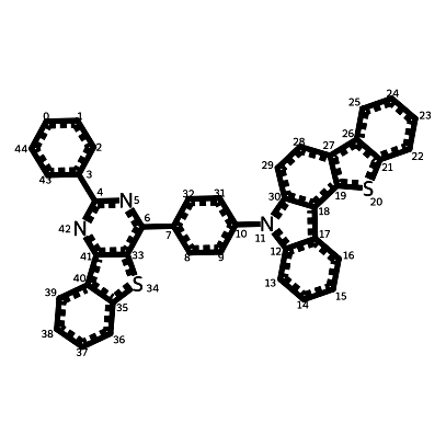 c1ccc(-c2nc(-c3ccc(-n4c5ccccc5c5c6sc7ccccc7c6ccc54)cc3)c3sc4ccccc4c3n2)cc1